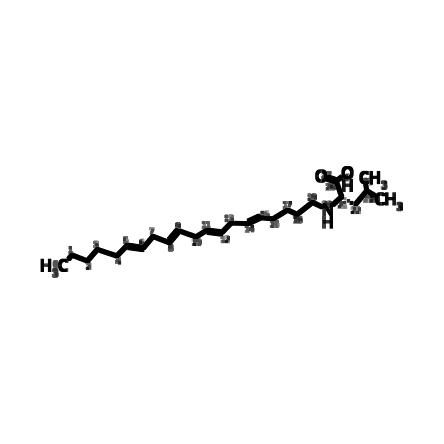 CCCCCC=CCC=CCC=CCC=CCCCCN[C@@H](CC(C)C)C(=O)O